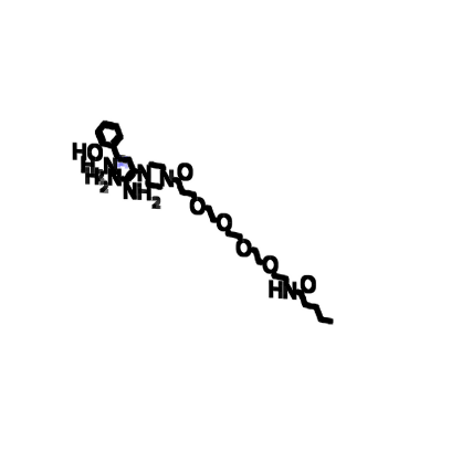 CCCCC(=O)NCCOCCOCCOCCOCCC(=O)N1CCN(C(/C=C(\N)c2ccccc2O)=C(N)N)CC1